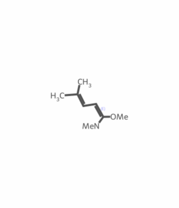 CN/C(=C\C=C(C)C)OC